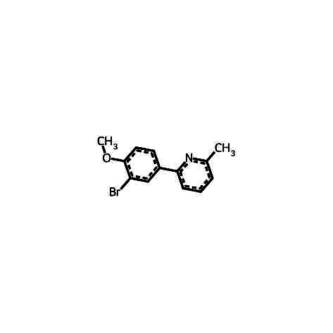 COc1ccc(-c2cccc(C)n2)cc1Br